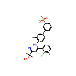 Cc1cc(-c2cccc(S(C)(=O)=O)c2)ccc1N/C(=C\C(=N)C(C)(C)O)c1cccc(F)c1F